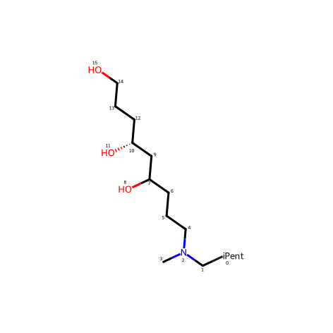 CCCC(C)CN(C)CCCC(O)C[C@H](O)CCCO